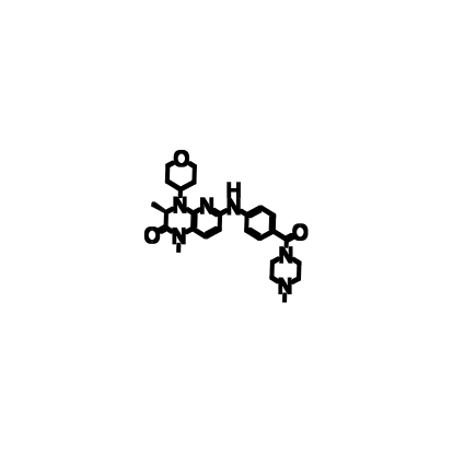 C[C@@H]1C(=O)N(C)c2ccc(Nc3ccc(C(=O)N4CCN(C)CC4)cc3)nc2N1C1CCOCC1